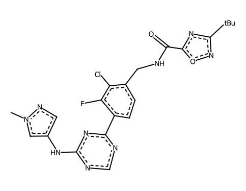 Cn1cc(Nc2ncnc(-c3ccc(CNC(=O)c4nc(C(C)(C)C)no4)c(Cl)c3F)n2)cn1